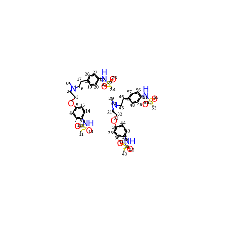 CN(CCOc1ccc(NS(C)(=O)=O)cc1)CCc1ccc(NS(C)(=O)=O)cc1.CN(CCOc1ccc(NS(C)(=O)=O)cc1)CCc1ccc(NS(C)(=O)=O)cc1